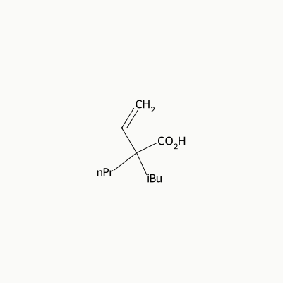 C=CC(CCC)(C(=O)O)C(C)CC